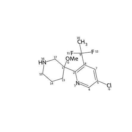 COC1(c2ncc(Cl)cc2C(C)(F)F)CCCNC1